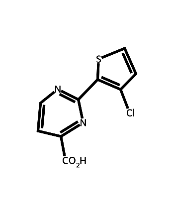 O=C(O)c1ccnc(-c2sccc2Cl)n1